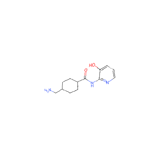 NCC1CCC(C(=O)Nc2ncccc2O)CC1